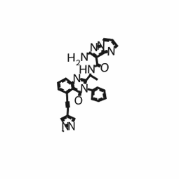 CC(NC(=O)c1c(N)nn2cccnc12)c1nc2cccc(C#Cc3cnn(C)c3)c2c(=O)n1-c1ccccc1